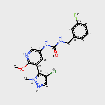 COc1ncc(NC(=O)NCc2cccc(F)c2)cc1-c1c(Cl)cnn1C